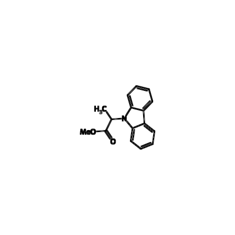 COC(=O)C(C)n1c2ccccc2c2ccccc21